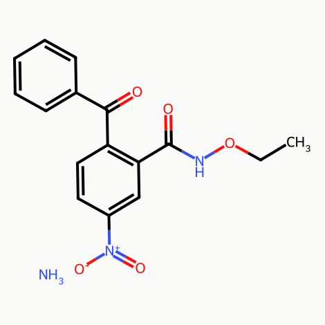 CCONC(=O)c1cc([N+](=O)[O-])ccc1C(=O)c1ccccc1.N